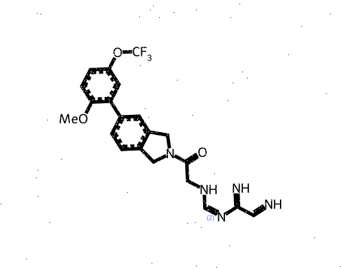 COc1ccc(OC(F)(F)F)cc1-c1ccc2c(c1)CN(C(=O)CN/C=N\C(=N)C=N)C2